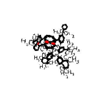 CC(C)(C)c1ccc(-c2ccc(-c3cc(C(C)(C)c4ccccc4)ccc3N3c4ccc(C(C)(C)c5ccccc5)cc4B4c5cc6c(cc5N(c5ccc7c(c5)C(C)(C)CCC7(C)C)c5cc(C(C)(C)C)cc3c54)C(C)(C)CCC6(C)C)cc2)cc1